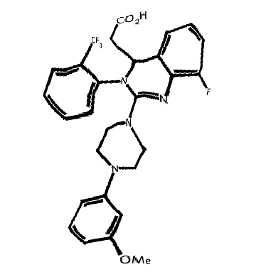 COc1cccc(N2CCN(C3=Nc4c(F)cccc4C(CC(=O)O)N3c3ccccc3C(F)(F)F)CC2)c1